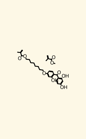 C=C(C)C(=O)OC.C=C(C)C(=O)OCCCCCCCCOc1ccc(C(=O)c2ccc(O)cc2O)c(O)c1